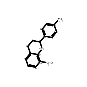 Cc1ccc(C2CCc3cccc(C=O)c3N2)cc1